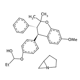 C1CC2CN2C1.CCC(O)Oc1ccc([C@@H]2c3ccc(OC)cc3OC(C)(C)[C@H]2c2ccccc2)cc1